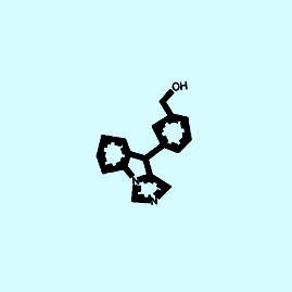 OCc1cccc(C2c3ccccc3-n3cncc32)c1